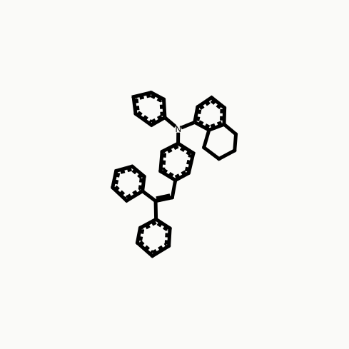 C(=C(c1ccccc1)c1ccccc1)c1ccc(N(c2ccccc2)c2cccc3c2CCCC3)cc1